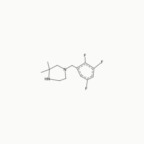 CC1(C)CN(Cc2cc(F)cc(F)c2F)CCN1